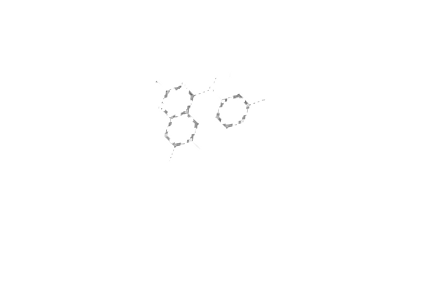 CN(c1cccc(F)c1)c1nc(Cl)nc2cc(F)c(F)cc12